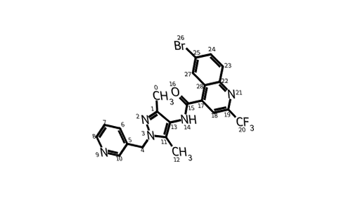 Cc1nn(Cc2cccnc2)c(C)c1NC(=O)c1cc(C(F)(F)F)nc2ccc(Br)cc12